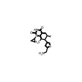 CC1=c2c(c(=O)[nH]c(=O)n2C2CC2)=CC(F)C1c1csc(CN)c1